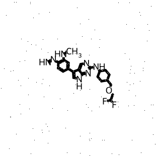 CNc1cc(-c2c[nH]c3nc(NC4CCC(COCC(F)F)CC4)ncc23)ccc1N=N